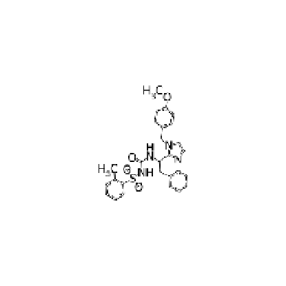 COc1ccc(Cn2ccnc2C(Cc2ccccc2)NC(=O)NS(=O)(=O)c2ccccc2C)cc1